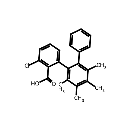 Cc1c(C)c(C)c(-c2cccc(Cl)c2C(=O)O)c(-c2ccccc2)c1C